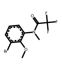 COc1c(Br)cccc1N(C)C(=O)C(F)(F)F